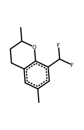 Cc1cc2c(c(C(F)F)c1)OC(C)CC2